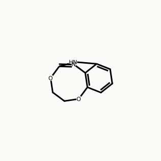 c1cc2c3nc([nH]c3c1)OCCO2